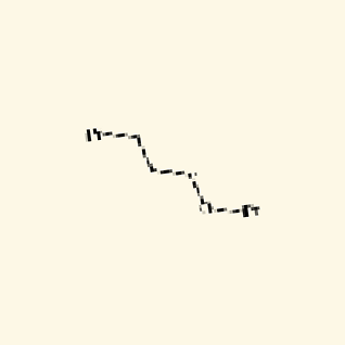 CC(C)CC[CH]OC(C)C